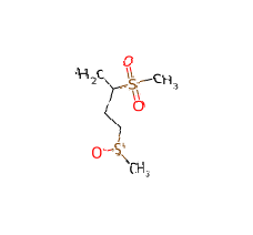 [CH2]C(CC[S+](C)[O-])S(C)(=O)=O